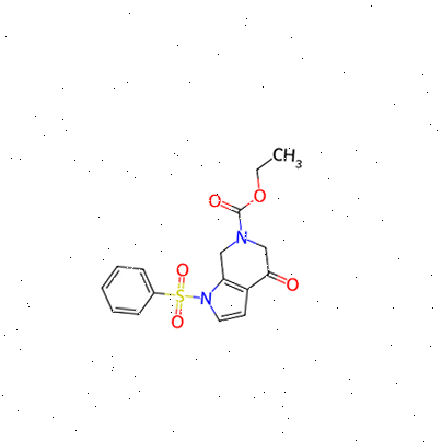 CCOC(=O)N1CC(=O)c2ccn(S(=O)(=O)c3ccccc3)c2C1